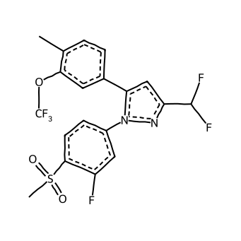 Cc1ccc(-c2cc(C(F)F)nn2-c2ccc(S(C)(=O)=O)c(F)c2)cc1OC(F)(F)F